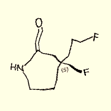 O=C1NCC[C@@]1(F)CF